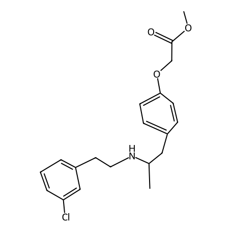 COC(=O)COc1ccc(CC(C)NCCc2cccc(Cl)c2)cc1